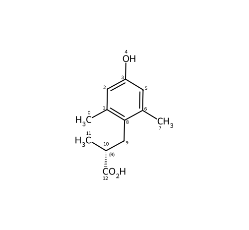 Cc1cc(O)cc(C)c1C[C@@H](C)C(=O)O